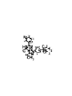 CCc1nc(C2CCC(C(C)(C)C)CC2)n2nc(-c3cccc(F)c3)[nH]c(=O)c12